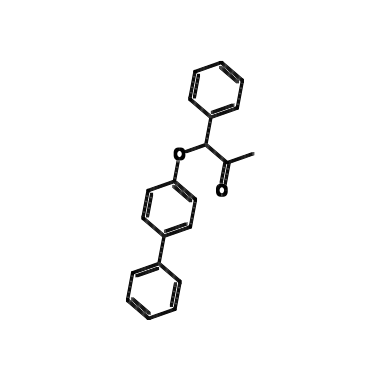 CC(=O)C(Oc1ccc(-c2ccccc2)cc1)c1ccccc1